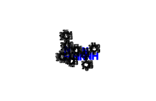 C1=CCC(C2NC(C3=CCCC=C3)=NC(c3ccc(C4CC(C5CC=CCC5)C=CN4)c(C4Cc5ccccc5-c5ccccc54)c3)N2)C=C1